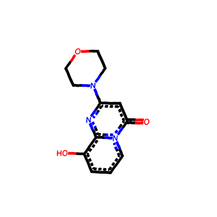 O=c1cc(N2CCOCC2)nc2c(O)cccn12